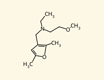 CCN(CCOC)Cc1cc(C)oc1C